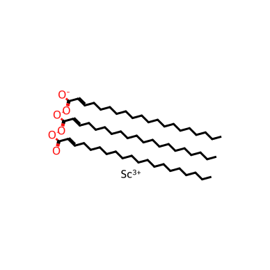 CCCCCCCCCCCCCCCCCC=CC(=O)[O-].CCCCCCCCCCCCCCCCCC=CC(=O)[O-].CCCCCCCCCCCCCCCCCC=CC(=O)[O-].[Sc+3]